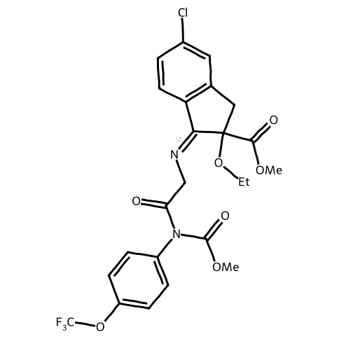 CCOC1(C(=O)OC)Cc2cc(Cl)ccc2/C1=N/CC(=O)N(C(=O)OC)c1ccc(OC(F)(F)F)cc1